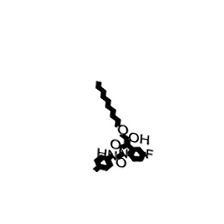 CCCCCCCCCCOCC(O)=C1C(=O)N(C(=O)Nc2ccc(C)cc2)c2ccc(F)cc21